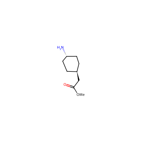 COC(=O)C[C@H]1CC[C@H](N)CC1